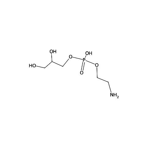 NCCOP(=O)(O)OCC(O)CO